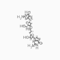 Nc1nc2c(ncn2[C@H]2C[C@H](ONCC[C@H]3O[C@@H](n4cnc5c(=O)[nH]c(N)nc54)C[C@@H]3O)[C@@H](CO)O2)c(=O)[nH]1